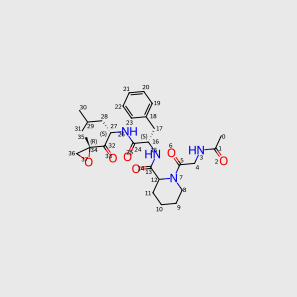 CC(=O)NCC(=O)N1CCCCC1C(=O)N[C@@H](Cc1ccccc1)C(=O)N[C@@H](CC(C)C)C(=O)[C@@]1(C)CO1